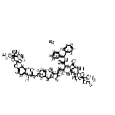 CC(C)(C)OC(=O)N[C@@H]1C(=O)N2C(C(=O)OC(c3ccccc3)c3ccccc3)=C(/C=C3\CCN(Cc4ccc[n+](CC(=O)Nc5ccc(OC(=O)OC(C)(C)C)cc5)c4)C3=O)CS[C@H]12.[Br-]